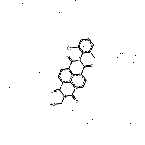 CCc1cccc(C)c1N1C(=O)c2ccc3c4c(ccc(c24)C1=O)C(=O)N(CO)C3=O